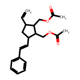 C=CC1CC(C=Cc2ccccc2)C(COC(C)=O)C1COC(C)=O